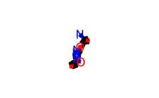 N#Cc1cccc(COc2cc3n(n2)CCN(C(=O)c2ccccc2)C3)c1